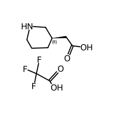 O=C(O)C(F)(F)F.O=C(O)C[C@H]1CCCNC1